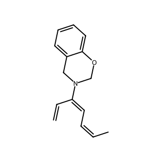 C=C/C(=C\C=C/C)N1COc2ccccc2C1